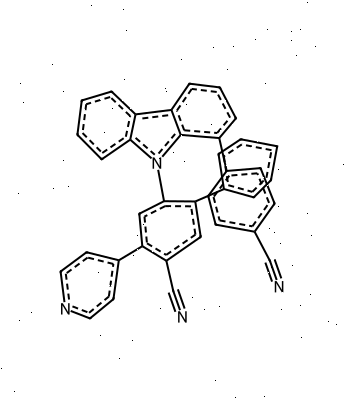 N#Cc1ccc(-c2cccc3c4ccccc4n(-c4cc(-c5ccncc5)c(C#N)cc4-c4ccccc4)c23)cc1